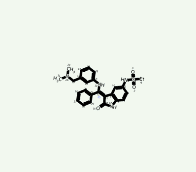 CCS(=O)(=O)Nc1ccc2c(c1)/C(=C(\Nc1cccc(CN(C)C)c1)c1ccccc1)C(=O)N2